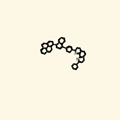 c1ccc(-c2ccc3ccc4ccc(-c5ccc(-c6ccc(-c7ccc8ccc9cccc%10ccc7c8c9%10)c7ccccc67)cc5)nc4c3n2)cc1